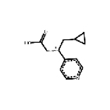 O=C(O)C[C@H](CC1CC1)c1ccncc1